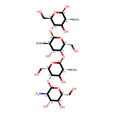 CC(=O)N[C@H]1[C@@H](O[C@H]2C(O)[C@@H](NC(C)=O)[C@H](O)O[C@@H]2CO)O[C@H](CO)[C@@H](O[C@@H]2O[C@@H](CO)[C@@H](O[C@H]3O[C@H](CO)[C@@H](O)[C@H](O)[C@H]3N)C(O)[C@H]2NC(C)=O)[C@@H]1O